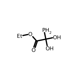 CCOC(=O)C(O)(O)P